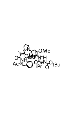 CC[C@H](C)[C@@H]([C@@H](CC(=O)N1CCC[C@H]1[C@H](OC)[C@@H](C)C(=O)N[C@@H](Cc1ccccc1)C(C)=O)OC)N(C)C(=O)[C@@H](NC(=O)OC(C)(C)C)C(C)C